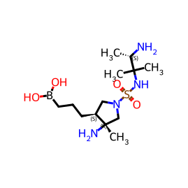 C[C@H](N)C(C)(C)NS(=O)(=O)N1C[C@H](CCCB(O)O)[C@@](C)(N)C1